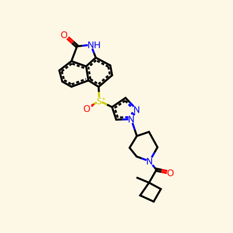 CC1(C(=O)N2CCC(n3cc([S+]([O-])c4ccc5c6c(cccc46)C(=O)N5)cn3)CC2)CCC1